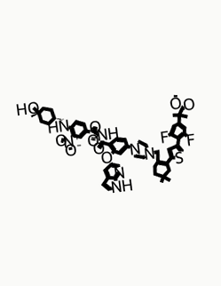 COC(=O)C(C)(C)c1cc(F)c(-c2csc(C3=C(CN4CCN(c5ccc(C(=O)NS(=O)(=O)c6ccc(NC[C@H]7CC[C@@](C)(O)CC7)c([N+](=O)[O-])c6)c(Oc6cnc7[nH]ccc7c6)c5)CC4)CCC(C)(C)C3)c2)c(F)c1